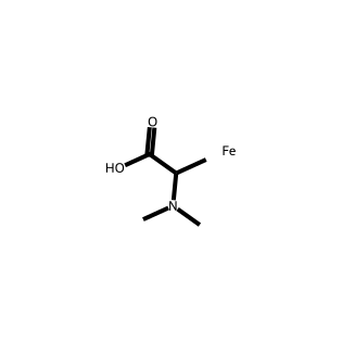 CC(C(=O)O)N(C)C.[Fe]